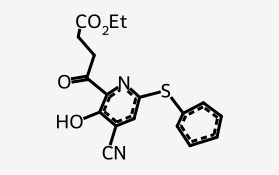 CCOC(=O)CCC(=O)c1nc(Sc2ccccc2)cc(C#N)c1O